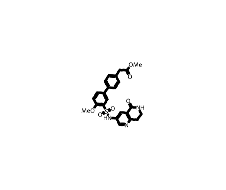 COC(=O)Cc1ccc(-c2ccc(OC)c(S(=O)(=O)Nc3cnc4c(c3)C(=O)NCC4)c2)cc1